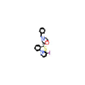 Ic1cccnc1SC(c1ccccc1)[C@@H]1CN(Cc2ccccc2)CCO1